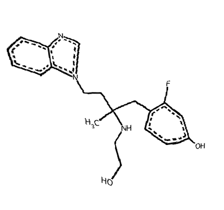 CC(CCn1cnc2ccccc21)(Cc1ccc(O)cc1F)NCCO